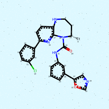 CC[C@H]1CCNc2ccc(-c3cccc(Cl)c3)nc2N1C(=O)Nc1cccc(-c2cnco2)c1